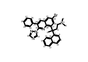 CN(C)CCC(C)(c1cccc2ccccc12)c1cc(Br)cc2cc(-c3ccccc3)c(-n3cncn3)nc12